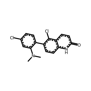 CN(C)c1cc(Cl)ccc1-c1ccc2[nH]c(=O)ccc2c1Cl